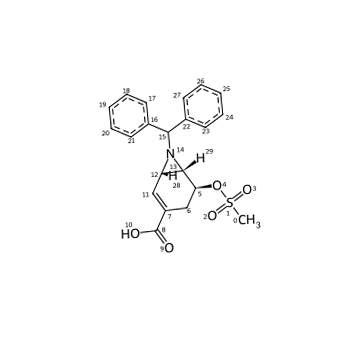 CS(=O)(=O)O[C@H]1CC(C(=O)O)=C[C@H]2[C@@H]1N2C(c1ccccc1)c1ccccc1